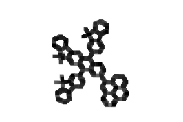 CC1(C)c2ccccc2-c2ccc(-c3c4ccc(C5=C6C=CC=C7C=CC8=CC=CC(=C5)C8C76)cc4c(-c4ccc5c(c4)C(C)(C)c4ccccc4-5)c4cc5c(cc34)-c3ccccc3[Si]5(C)C)cc21